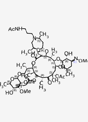 CO/N=C1\C[C@@H](C)O[C@@H](O[C@@H]2[C@@H](C)[C@H](O[C@H]3C[C@H](C)N(CCCNC(C)=O)CC(C)O3)[C@@H](C)C(=O)O[C@H]([C@@H](C)CO[C@@H]3O[C@H](C)[C@@H](O)[C@@H](OC)[C@H]3OC)[C@H](C)[C@@H](OC(=O)CC(C)C)[C@@H](C)C(=O)[C@@](C)(OC(C)=O)C[C@@H]2C)[C@@H]1O